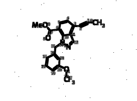 CC#Cc1ccc(C(=O)OC)c2c1cnn2Cc1cccc(OC(F)(F)F)c1